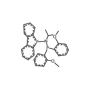 COc1ccccc1P(c1ccccc1OC)N(C(C)C)p1c2ccccc2c2ccccc21